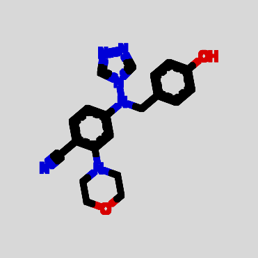 N#Cc1ccc(N(Cc2ccc(O)cc2)n2cnnc2)cc1N1CCOCC1